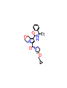 CC[C@@H](NC(=O)c1cc(C(=O)N2CC[C@H](OCC3CC3)C2)n2c1COCC2)c1ccccc1